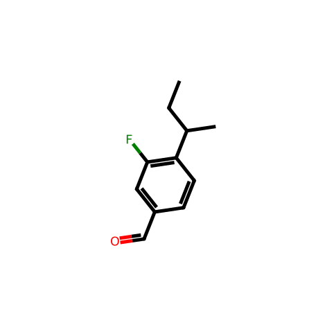 CCC(C)c1ccc(C=O)cc1F